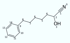 N#CC(O)CCCCCc1ccccc1